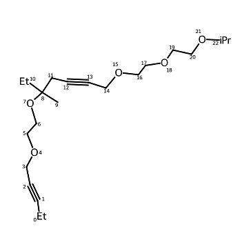 CCC#CCOCCOC(C)(CC)CC#CCOCCOCCOC(C)C